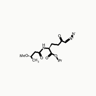 CO[C@@H](C)CC(=O)N[C@@H](CCC(=O)C=[N+]=[N-])C(=O)OC(C)C